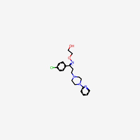 OCCO/N=C(/CCN1CCN(c2ccccn2)CC1)c1ccc(Cl)cc1